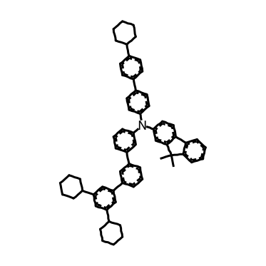 CC1(C)c2ccccc2-c2ccc(N(c3ccc(-c4ccc(C5CCCCC5)cc4)cc3)c3cccc(-c4cccc(-c5cc(C6CCCCC6)cc(C6CCCCC6)c5)c4)c3)cc21